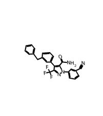 N#Cc1cccc(-n2nc(C(F)(F)F)c(-c3cccc(Cc4ccccc4)c3)c2C(N)=O)c1